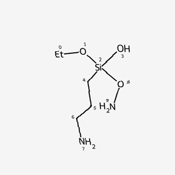 CCO[Si](O)(CCCN)ON